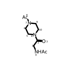 CC(=O)NCC(=O)N1CCN(C(C)=O)CC1